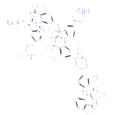 CCC1(CC)c2cc(C3CCNCC3)ccc2-n2c1nc(=O)c1c(Br)cc(CC3(C)c4cc(C5CCNCC5)ccc4-n4c3nc(=O)c3c(Br)cc(C5CC(c6ccc7c(c6)C(C)(C)c6nc(=O)c8c(Cl)cccc8n6-7)CCN5)cc34)cc12